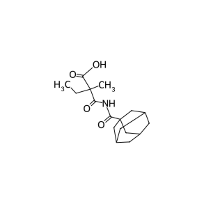 CCC(C)(C(=O)O)C(=O)NC(=O)C12CC3CC(CC(C3)C1)C2